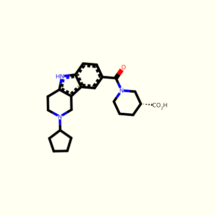 O=C(O)[C@@H]1CCCN(C(=O)c2ccc3[nH]c4c(c3c2)CN(C2CCCC2)CC4)C1